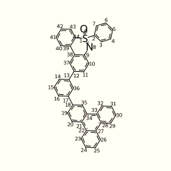 O=S1(c2ccccc2)=Nc2ccc(-c3cccc(-c4ccc5c6ccccc6c6ccccc6c5c4)c3)cc2-c2ccccc21